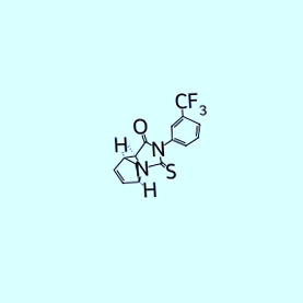 C[C@]12C(=O)N(c3cccc(C(F)(F)F)c3)C(=S)N1[C@H]1C=C[C@@H]2C1